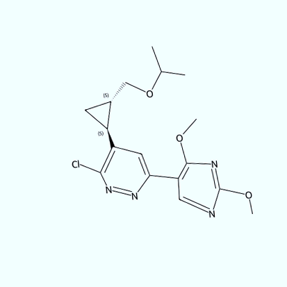 COc1ncc(-c2cc([C@H]3C[C@@H]3COC(C)C)c(Cl)nn2)c(OC)n1